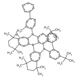 Cc1cc(-c2ccccc2)ccc1N1c2cc3c(cc2B2c4cc5c(cc4N(c4ccc(C(C)(C)C)cc4-c4ccccc4)c4cc(C(C)(C)C)cc1c42)C(C)(C)CCC5(C)C)C(C)(C)CCC3(C)C